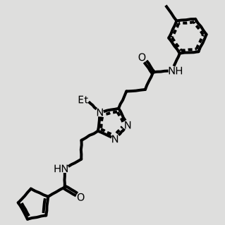 CCn1c(CCNC(=O)C2=CC=CC2)nnc1CCC(=O)Nc1cccc(C)c1